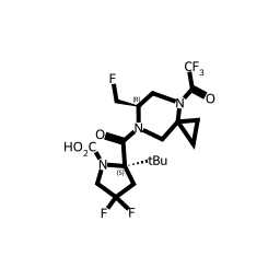 CC(C)(C)[C@]1(C(=O)N2CC3(CC3)N(C(=O)C(F)(F)F)C[C@@H]2CF)CC(F)(F)CN1C(=O)O